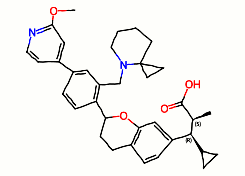 COc1cc(-c2ccc(C3CCc4ccc([C@H](C5CC5)[C@H](C)C(=O)O)cc4O3)c(CN3CCCCC34CC4)c2)ccn1